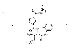 CC[C@H](C)[C@H]1C(=O)Nc2ccccc2CN1C(=O)N1CC[C@H](C(=O)NC)C1